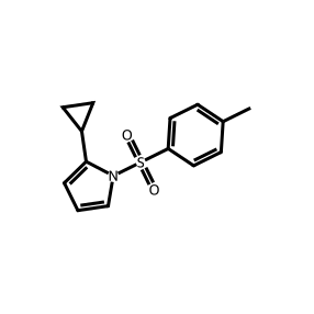 Cc1ccc(S(=O)(=O)n2cccc2C2CC2)cc1